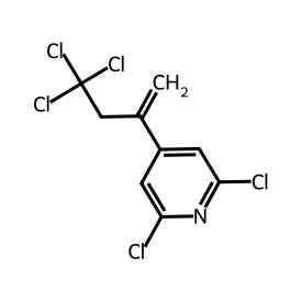 C=C(CC(Cl)(Cl)Cl)c1cc(Cl)nc(Cl)c1